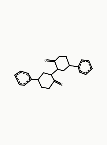 O=C1CCC(c2ccccc2)CC1C1CC(c2ccccc2)CCC1=O